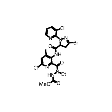 CCN(NC(=O)OC)C(=O)c1nc(Cl)cc(C)c1NC(=O)C1CC(Br)=NN1c1ncccc1Cl